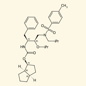 Cc1ccc(S(=O)(=O)N(CC(C)C)C[C@@H](OC(C)C)[C@H](Cc2ccccc2)NC(=O)O[C@H]2CC[C@H]3CCC[C@H]32)cc1